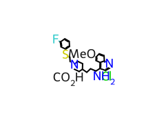 COc1ccc2ncc(Cl)c([C@H](N)CCC3CCN(CCSc4cccc(F)c4)CC3C(=O)O)c2c1